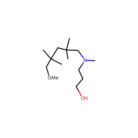 COCC(C)(C)CC(C)(C)CN(C)CCCO